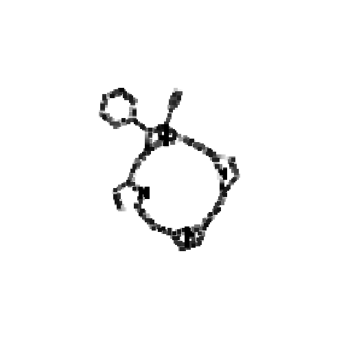 C#Cc1c(-c2ccccc2)c2cc3nc(cc4ccc(cc5nc(cc1[nH]2)C=C5)[nH]4)C=C3